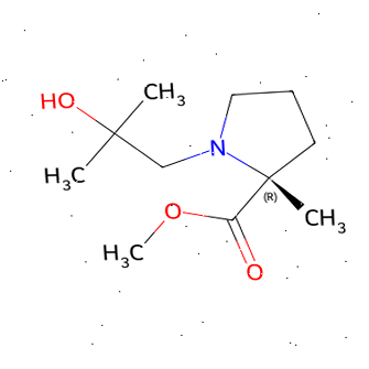 COC(=O)[C@@]1(C)CCCN1CC(C)(C)O